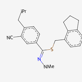 CN/N=C(\SCc1cccc2c1CCC2)c1ccc(CC(C)C)c(C#N)c1